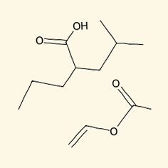 C=COC(C)=O.CCCC(CC(C)C)C(=O)O